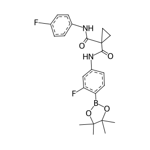 CC1(C)OB(c2ccc(NC(=O)C3(C(=O)Nc4ccc(F)cc4)CC3)cc2F)OC1(C)C